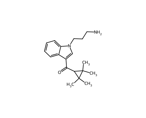 CC1(C)C(C(=O)c2cn(CCCN)c3ccccc23)C1(C)C